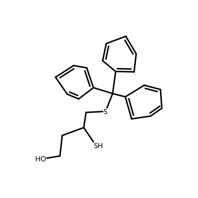 OCCC(S)CSC(c1ccccc1)(c1ccccc1)c1ccccc1